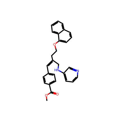 COC(=O)c1ccc(C=C(CCOc2cccc3ccccc23)CNc2cccnc2)cc1